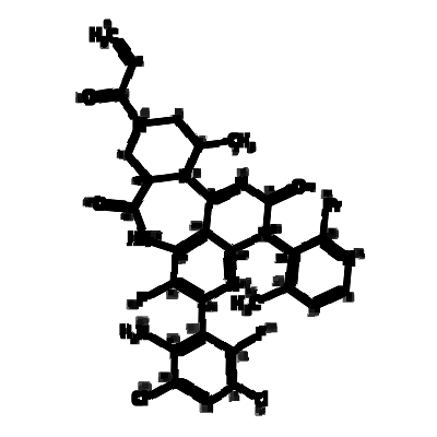 C=CC(=O)N1CC(C)N2c3nc(=O)n(-c4c(C)ccnc4C(C)C)c4nc(-c5c(N)c(Cl)cc(Cl)c5F)c(F)c(c34)NC(=O)C2C1